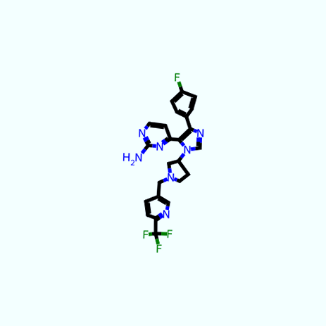 Nc1nccc(-c2c(-c3ccc(F)cc3)ncn2C2CCN(Cc3ccc(C(F)(F)F)nc3)C2)n1